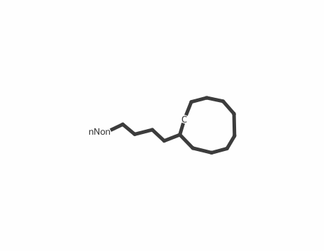 CCCCCCCCCCCCCC1CCCCCCCCC1